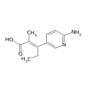 CC/C(=C(/C)C(=O)O)c1ccc(N)nc1